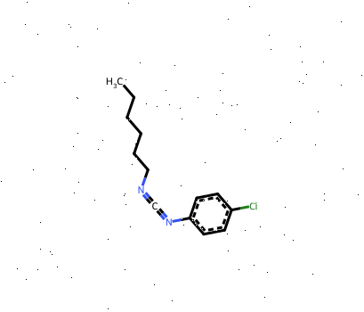 CCCCCCN=C=Nc1ccc(Cl)cc1